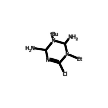 CCN1C(Cl)=NC(N)N(C(C)(C)C)C1N